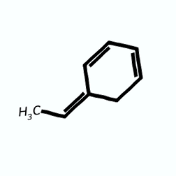 CC=C1C=CC=CC1